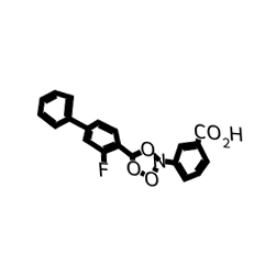 O=C(O)c1cccc(N2OOC(c3ccc(-c4ccccc4)cc3F)O2)c1